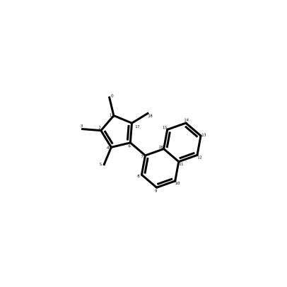 C[C]1C(C)=C(C)C(c2cccc3ccccc23)=C1C